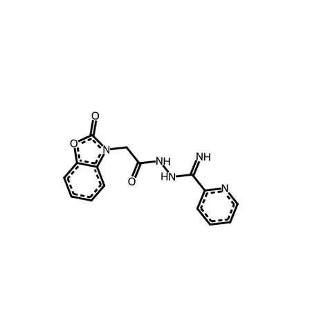 N=C(NNC(=O)Cn1c(=O)oc2ccccc21)c1ccccn1